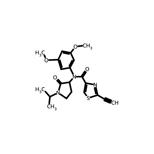 C#Cc1nc(C(=O)N(c2cc(OC)cc(OC)c2)C2CCN(C(C)C)C2=O)cs1